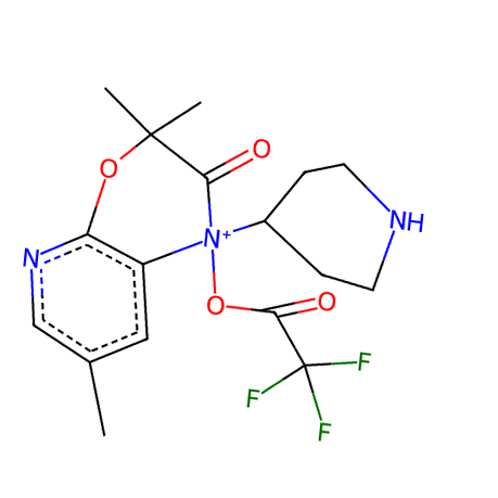 Cc1cnc2c(c1)[N+](OC(=O)C(F)(F)F)(C1CCNCC1)C(=O)C(C)(C)O2